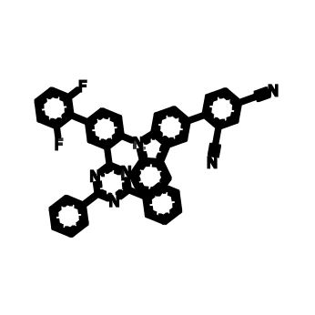 N#Cc1ccc(-c2ccc3c(c2)c2ccccc2n3-c2ccc(-c3c(F)cccc3F)cc2-c2nc(-c3ccccc3)nc(-c3ccccc3)n2)c(C#N)c1